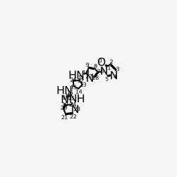 O=c1ccncn1-c1ccc(N[C@H]2CC[C@H](Nc3nc4cccnc4[nH]3)C2)nc1